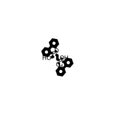 OC=P1(CC[PH]2(O)Oc3ccccc3-c3ccccc32)Oc2ccccc2-c2ccccc21